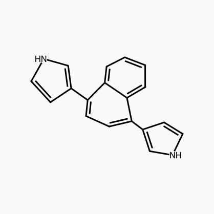 c1ccc2c(-c3cc[nH]c3)ccc(-c3cc[nH]c3)c2c1